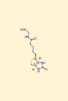 O=CCNC(=O)CCCC[C@@H]1SC[C@@H]2NC(=O)N[C@@H]21